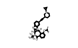 [2H]C([2H])([2H])N1C(=O)c2cccc(OC(F)F)c2[C@H]2C[C@@H]1c1nc3ccc(C#CC4CCCN(C5CC5)C4)cc3n12